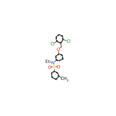 CCN(c1cccc(OCc2c(Cl)cccc2Cl)c1)S(=O)(=O)c1cccc(C)c1